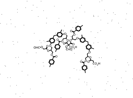 Cc1ccc(C(=O)OCC(COc2ccc(Cc3ccc(OCC(COC(=O)c4ccc(C)cc4)OC(=O)C(OC=O)(C(=O)O)C(=O)OC(COC(=O)c4ccc(C)cc4)COc4ccc(Cc5ccc(OCC(COC(=O)c6ccc(C)cc6)OC(=O)CC(=O)O)c(C)c5)cc4C)c(C)c3)cc2C)OC(=O)COC=O)cc1